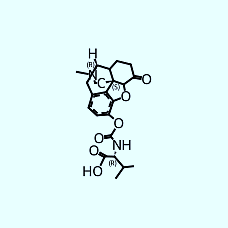 CC(C)[C@@H](NC(=O)Oc1ccc2c3c1OC1C(=O)CCC4[C@@H](C2)N(C)CC[C@]314)C(=O)O